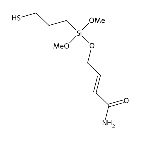 CO[Si](CCCS)(OC)OC/C=C/C(N)=O